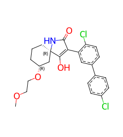 COCCO[C@@H]1CCC[C@]2(C1)NC(=O)C(c1cc(-c3ccc(Cl)cc3)ccc1Cl)=C2O